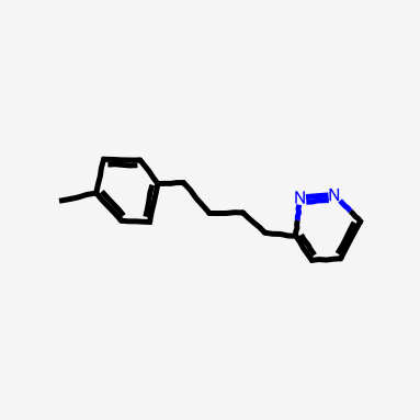 Cc1ccc(CCCCc2cccnn2)cc1